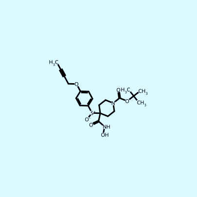 CC#CCOc1ccc([S+]([O-])C2(C(=O)NO)CCN(C(=O)OC(C)(C)C)CC2)cc1